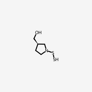 OC[C@@H]1CCN(SS)C1